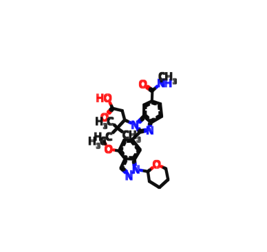 CNC(=O)c1ccc2nc(-c3cc(OC)c4cnn(C5CCCCO5)c4c3)n(C(CC(=O)O)C(C)(C)C)c2c1